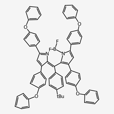 CC(C)(C)c1ccc(/C(=C2/N=C(c3ccc(Oc4ccccc4)cc3)C=C2c2ccc(Oc3ccccc3)cc2)c2c(-c3ccc(Oc4ccccc4)cc3)cc(-c3ccc(Oc4ccccc4)cc3)n2B(F)F)cc1